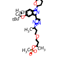 CC(CCOCCC(C)n1ncc(-c2nn(C3CCCCO3)c3ccc(O[Si](C)(C)C(C)(C)C)cc23)n1)OS(C)(=O)=O